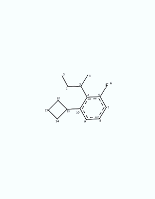 CCC(C)c1c(F)cccc1C1CCC1